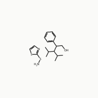 CC(C)C(C(C)C)C(CO)c1ccccc1.NSc1nccs1